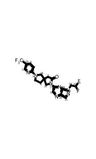 O=C1CC2(CCN(c3ccc(C(F)(F)F)cn3)C2)CN1c1cnc2cnn(CC(F)F)c2n1